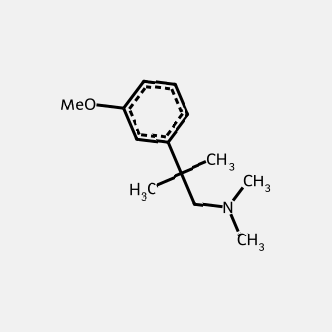 COc1cccc(C(C)(C)CN(C)C)c1